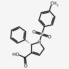 Cc1ccc(S(=O)(=O)N2CC=C(C(=O)O)[C@@H]2c2ccccc2)cc1